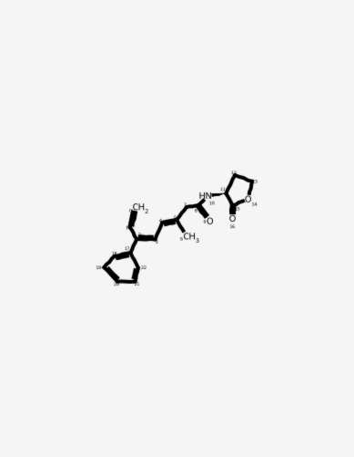 C=C/C(=C\C=C(/C)CC(=O)N[C@H]1CCOC1=O)c1ccccc1